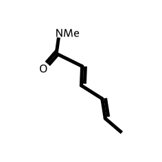 C/C=C/C=C/C(=O)NC